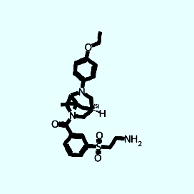 CCOc1ccc(N2C[C@H]3CN(C(=O)c4cccc(S(=O)(=O)CCN)c4)CC2C(C)(C)C3)cc1